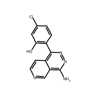 Nc1nnc(-c2ccc(Cl)cc2O)c2ccncc12